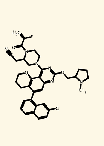 C=C(F)C(=O)N1CCN(c2nc(OCC3CCCN3C)nc3cc(-c4cccc5ccc(Cl)cc45)c4c(c23)OCCC4)CC1CC#N